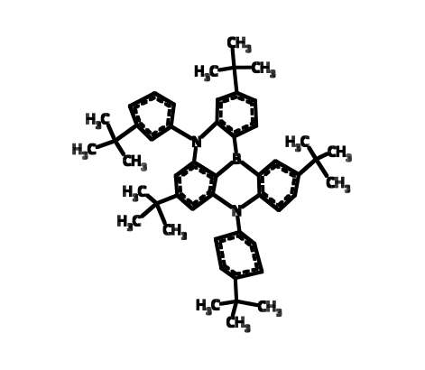 CC(C)(C)c1ccc(N2c3ccc(C(C)(C)C)cc3B3c4ccc(C(C)(C)C)cc4N(c4cccc(C(C)(C)C)c4)c4cc(C(C)(C)C)cc2c43)cc1